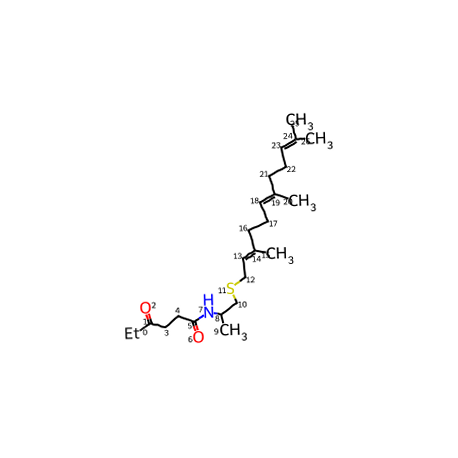 CCC(=O)CCC(=O)NC(C)CSC/C=C(\C)CC/C=C(\C)CCC=C(C)C